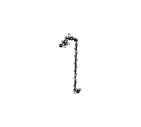 O=C(CCOCCOCCOCCOCCOCCOCCOCCOCCOCCOCCOCCOCCn1cc(-c2ccc3[nH]c(C(=O)N4CCC5(CC4)NC(=O)N(c4ccccc4)C5=O)cc3c2)nn1)ON1C(=O)CCC1=O